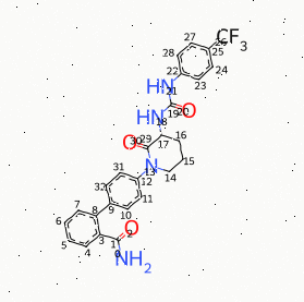 NC(=O)c1ccccc1-c1ccc(N2CCCC(NC(=O)Nc3ccc(C(F)(F)F)cc3)C2=O)cc1